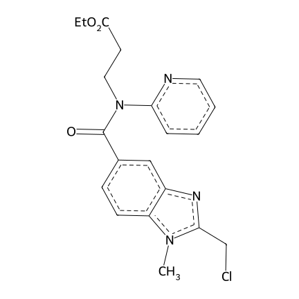 CCOC(=O)CCN(C(=O)c1ccc2c(c1)nc(CCl)n2C)c1ccccn1